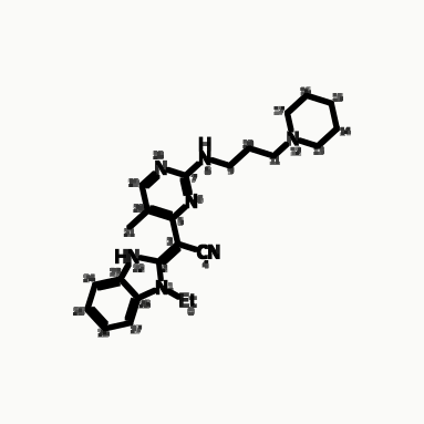 CCN1/C(=C(\C#N)c2nc(NCCCN3CCCCC3)ncc2C)Nc2ccccc21